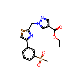 CCOC(=O)c1cnn(Cc2nc(-c3cccc(S(C)(=O)=O)c3)cs2)c1